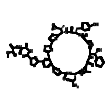 C=C(NC(=O)c1csc(-c2ccc3c(n2)-c2csc(n2)-c2csc(n2)[C@H]([C@@H](C)[C@@H]2CO2)NC(=O)[C@H](Cc2ccc(O)cc2)NC(=O)c2csc(n2)[C@H]([C@H](O)c2ccccc2)NC(=O)c2nc(sc2C)[C@H](CC(N)=O)NC(=O)c2csc-3n2)n1)C(=O)NC(=C)C(=O)OC